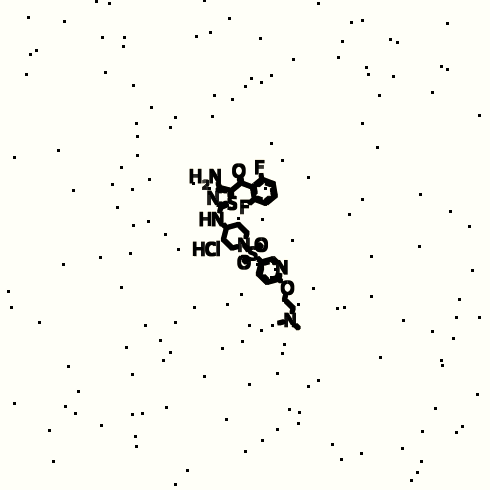 CN(C)CCOc1ccc(S(=O)(=O)N2CCC(Nc3nc(N)c(C(=O)c4c(F)cccc4F)s3)CC2)cn1.Cl